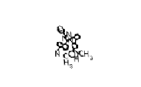 C[C@@H]1C[C@@H]2C[C@H](C)CC(c3ccc(-c4ccccc4-c4nc(-c5ccccc5)nc(-c5cccc6c(C#N)cccc56)n4)cc3)(C1)C2